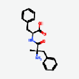 C[C@](N)(Cc1ccccc1)C(=O)N[C@@H](Cc1ccccc1)C(=O)O